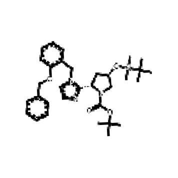 CC(C)(C)OC(=O)N1C[C@H](O[Si](C)(C)C(C)(C)C)C[C@H]1c1nccn1Cc1ccccc1OCc1ccccc1